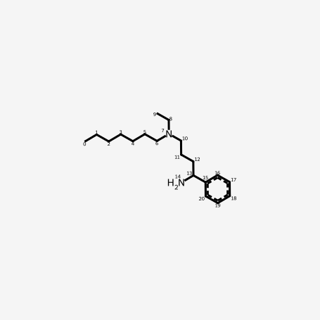 CCCCCCCN(CC)CCCC(N)c1ccccc1